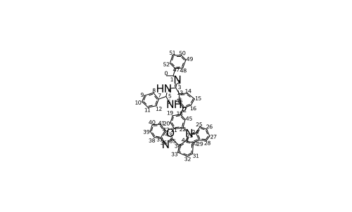 CC(/N=C(\NC(N)c1ccccc1)c1cccc(-c2cccc(-n3c4ccccc4c4cccc(-c5nc6ccccc6o5)c43)c2)c1)c1ccccc1